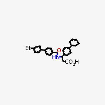 CCc1ccc(-c2ccc(C(=O)NC(CC(=O)O)c3ccc(-c4ccccc4)cc3)cc2)cc1